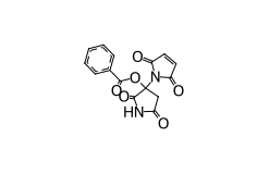 O=C1CC(OC(=O)c2ccccc2)(N2C(=O)C=CC2=O)C(=O)N1